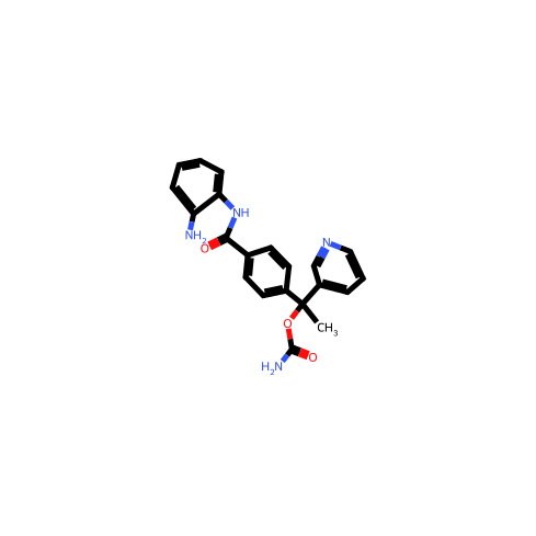 CC(OC(N)=O)(c1ccc(C(=O)Nc2ccccc2N)cc1)c1cccnc1